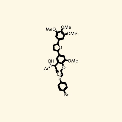 C#CC(c1cc(C2CCC(c3cc(OC)c(OC)c(OC)c3)O2)cc(OC)c1OCCSc1ccc(Br)cc1)N(O)C(C)=O